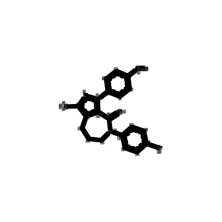 COc1ccc(-n2nc(C(F)(F)F)c3c2C(=O)N(c2ccc(Br)cc2)CCC3)cc1